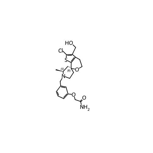 C[C@H]1C[C@@]2(CCN1Cc1cccc(OCC(N)=O)c1)OCCc1c2sc(Cl)c1CO